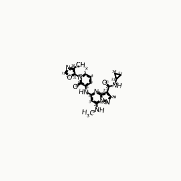 CNc1cc(Nc2cccn(-c3ocnc3C)c2=O)nc2c(C(=O)NC3CC3)cnn12